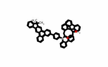 C=C1/C=C\C=C(\N(c2ccc(-c3ccc4c(c3)c3ccccc3c3cc5c(cc43)C(C)(C)c3ccccc3-5)cc2)c2ccccc2-c2ccccc2)Cc2ccccc2C12c1ccccc1-c1ccccc12